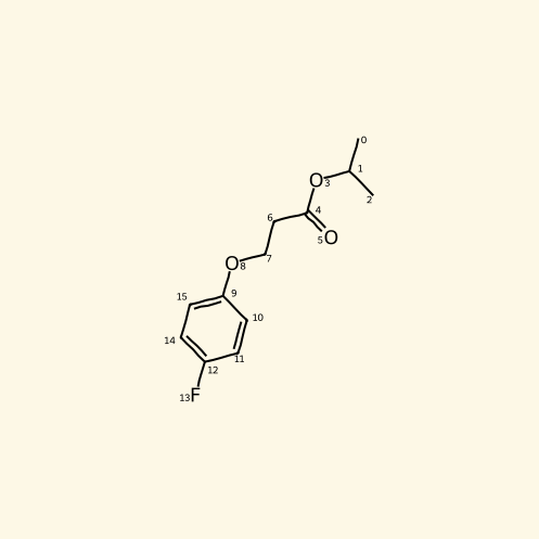 CC(C)OC(=O)CCOc1ccc(F)cc1